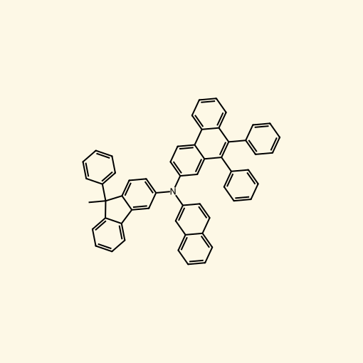 CC1(c2ccccc2)c2ccccc2-c2cc(N(c3ccc4ccccc4c3)c3ccc4c(c3)c(-c3ccccc3)c(-c3ccccc3)c3ccccc34)ccc21